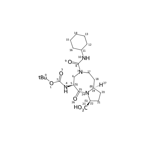 CC(C)(C)OC(=O)N[C@H]1CN(C(=O)NC2CCCCC2)CC[C@H]2CC[C@@H](C(=O)O)N2C1=O